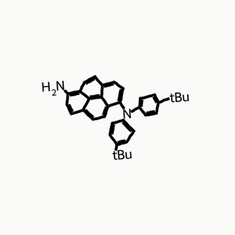 CC(C)(C)c1ccc(N(c2ccc(C(C)(C)C)cc2)c2ccc3ccc4c(N)ccc5ccc2c3c54)cc1